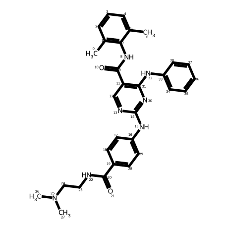 Cc1cccc(C)c1NC(=O)c1cnc(Nc2ccc(C(=O)NCCN(C)C)cc2)nc1Nc1ccccc1